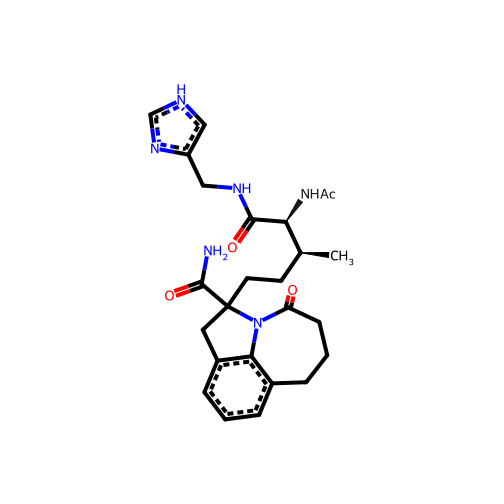 CC(=O)N[C@H](C(=O)NCc1c[nH]cn1)[C@@H](C)CCC1(C(N)=O)Cc2cccc3c2N1C(=O)CCC3